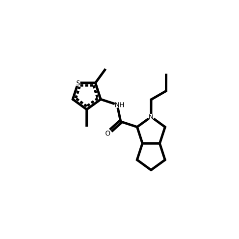 CCCN1CC2CCCC2C1C(=O)Nc1c(C)csc1C